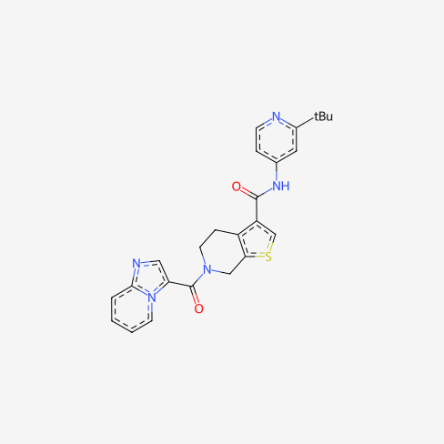 CC(C)(C)c1cc(NC(=O)c2csc3c2CCN(C(=O)c2cnc4ccccn24)C3)ccn1